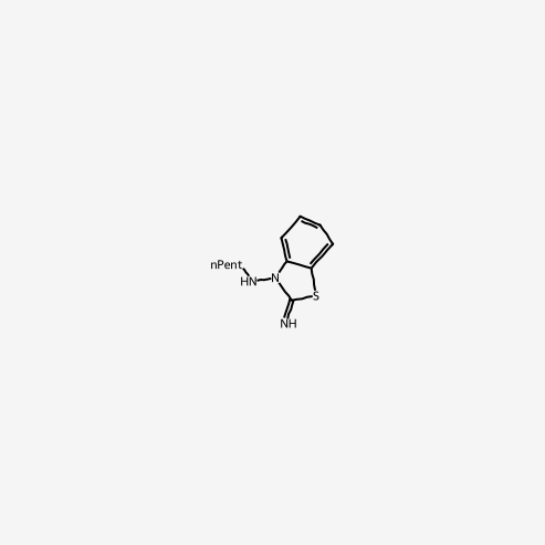 CCCCCNn1c(=N)sc2ccccc21